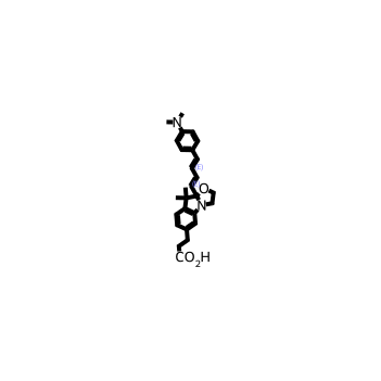 CN(C)c1ccc(/C=C/C=C/C23OCCN2c2cc(CCC(=O)O)ccc2C3(C)C)cc1